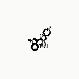 CN1CCC2(CC1)CN=C(c1cn(C)c3ccccc13)O2.Cl.Cl